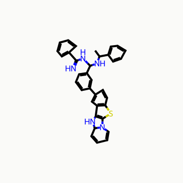 CC(NC(NC(=N)c1ccccc1)c1cccc(-c2ccc3sc4c(c3c2)NC2C=CC=CN42)c1)c1ccccc1